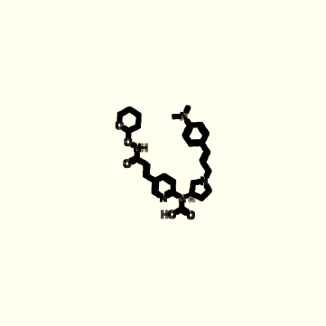 CN(C)c1ccc(C=CCN2CC[C@@H](N(C(=O)O)c3ccc(C=CC(=O)NOC4CCCCO4)cn3)C2)cc1